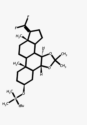 CC1(C)O[C@@H]2C3C(CC[C@]4(C)C(=C(F)F)CCC34)[C@@]3(C)CC[C@H](O[Si](C)(C)C(C)(C)C)CC3[C@H]2O1